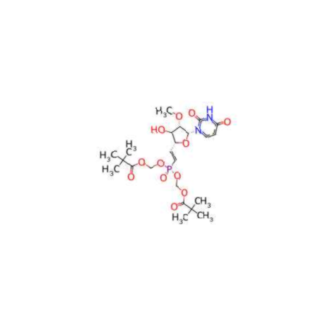 CO[C@H]1C(O)[C@@H](/C=C/P(=O)(OCOC(=O)C(C)(C)C)OCOC(=O)C(C)(C)C)O[C@H]1n1ccc(=O)[nH]c1=O